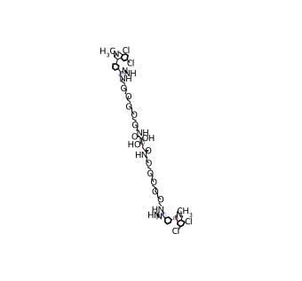 CN1Cc2c(Cl)cc(Cl)cc2C(c2cccc(/C(=C/NCCOCCOCCOCCOCCOCCNC(=O)[C@H](O)[C@@H](O)CCC(=O)NCCOCCOCCOCCOCCOCCN/C=C(\N=N)c3cccc([C@@H]4CN(C)Cc5c(Cl)cc(Cl)cc54)c3)N=N)c2)C1